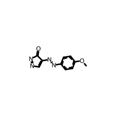 COc1ccc(N=NC2=CN=NC2=O)cc1